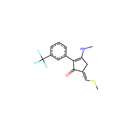 CNC1=C(c2cccc(C(F)(F)F)c2)C(=O)/C(=C/SC)C1